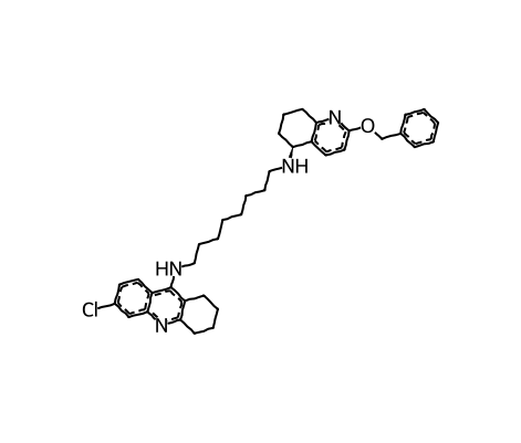 Clc1ccc2c(NCCCCCCCCN[C@H]3CCCc4nc(OCc5ccccc5)ccc43)c3c(nc2c1)CCCC3